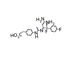 C=C(/N=C(\C=C(N)N)C(F)(F)c1ccc(F)cc1)Nc1ccc(CC(=O)O)cc1